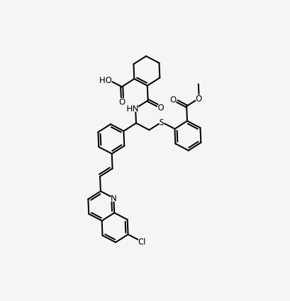 COC(=O)c1ccccc1SCC(NC(=O)C1=C(C(=O)O)CCCC1)c1cccc(C=Cc2ccc3ccc(Cl)cc3n2)c1